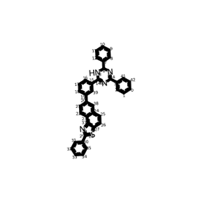 c1ccc(C2=NC(c3ccccc3)NC(c3cccc(-c4ccc5c(ccc6sc(-c7ccccc7)nc65)c4)c3)=N2)cc1